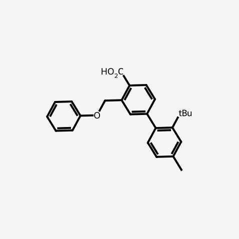 Cc1ccc(-c2ccc(C(=O)O)c(COc3ccccc3)c2)c(C(C)(C)C)c1